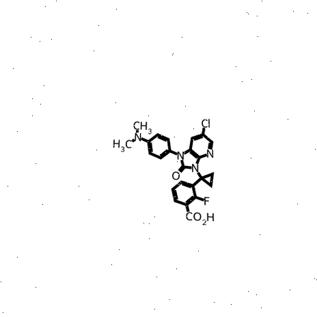 CN(C)c1ccc(-n2c(=O)n(C3(c4cccc(C(=O)O)c4F)CC3)c3ncc(Cl)cc32)cc1